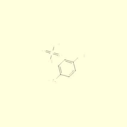 CS(=O)(=O)O.Cc1ccc(N)cc1